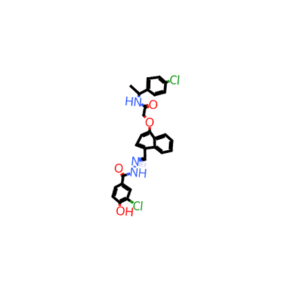 CC(NC(=O)COc1ccc(/C=N/NC(=O)c2ccc(O)c(Cl)c2)c2ccccc12)c1ccc(Cl)cc1